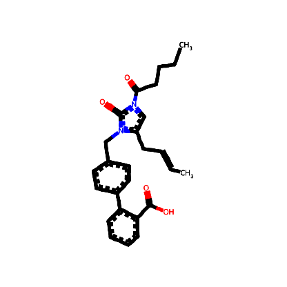 CC=CCc1cn(C(=O)CCCC)c(=O)n1Cc1ccc(-c2ccccc2C(=O)O)cc1